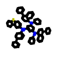 c1ccc(-c2ccc(N(c3cc(N(c4ccccc4)c4ccc(-c5ccccc5)c5ccccc45)cc(N(c4ccccc4)c4ccc(-c5ccccc5)c5ccccc45)c3)c3ccc4sc5ccccc5c4c3)cc2)cc1